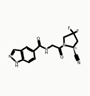 N#C[C@@H]1CC(F)(F)CN1C(=O)CNC(=O)c1ccc2[nH]ncc2c1